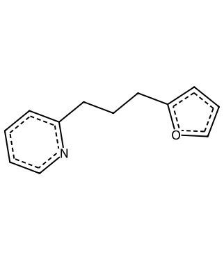 c1ccc(CCCc2ccco2)nc1